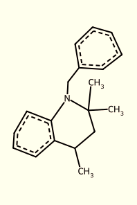 CC1CC(C)(C)N(Cc2ccccc2)c2ccccc21